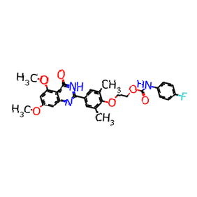 COc1cc(OC)c2c(=O)[nH]c(-c3cc(C)c(OCCOC(=O)Nc4ccc(F)cc4)c(C)c3)nc2c1